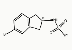 CC(C)S(=O)(=O)N[C@@H]1Cc2ccc(Br)cc2C1